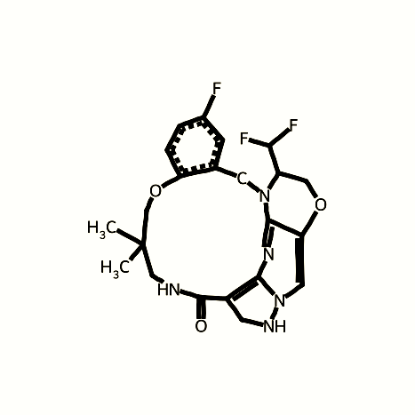 CC1(C)CNC(=O)C2=C3N=C4C(=CN3NC2)OCC(C(F)F)N4Cc2cc(F)ccc2OC1